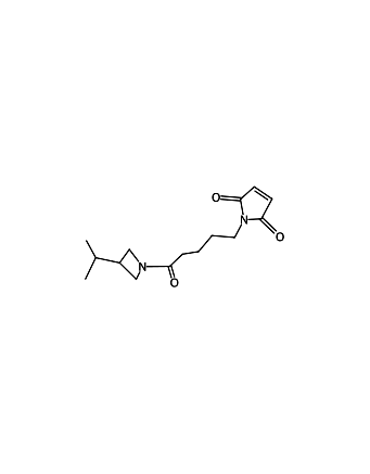 CC(C)C1CN(C(=O)CCCCN2C(=O)C=CC2=O)C1